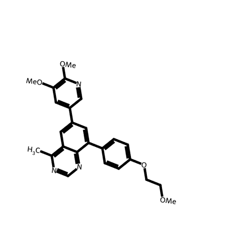 COCCOc1ccc(-c2cc(-c3cnc(OC)c(OC)c3)cc3c(C)ncnc23)cc1